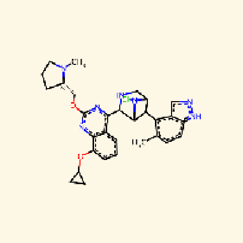 Cc1ccc2[nH]ncc2c1C1C2CNC(c3nc(OC[C@@H]4CCCN4C)nc4c(OC5CC5)cccc34)C1N2Cl